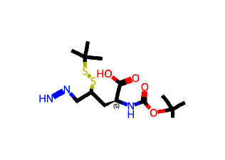 CC(C)(C)OC(=O)N[C@@H](CC(CN=N)SSC(C)(C)C)C(=O)O